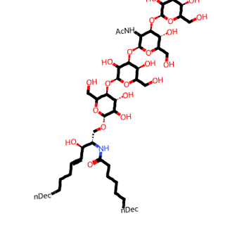 CCCCCCCCCCCCC/C=C/[C@@H](O)[C@H](CO[C@@H]1OC(CO)[C@@H](O[C@@H]2OC(CO)[C@H](O)[C@H](O[C@@H]3OC(CO)[C@@H](O)[C@H](O[C@@H]4OC(CO)[C@H](O)[C@H](O)C4O)C3NC(C)=O)C2O)[C@H](O)C1O)NC(=O)CCCCCCCCCCCCCCC